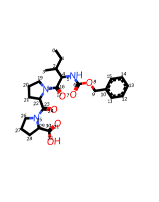 CCC(C)C(NC(=O)OCc1ccccc1)C(=O)N1CCCC1C(=O)N1CCCC1C(=O)O